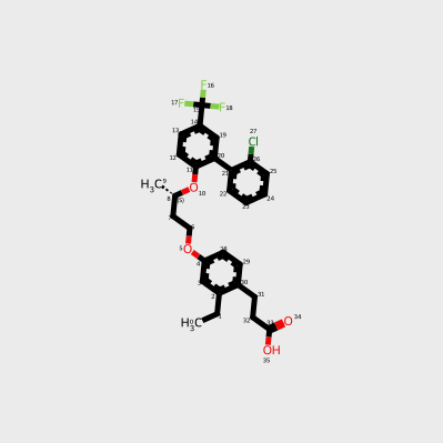 CCc1cc(OCC[C@H](C)Oc2ccc(C(F)(F)F)cc2-c2ccccc2Cl)ccc1CCC(=O)O